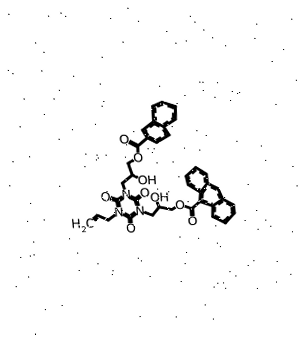 C=CCn1c(=O)n(CC(O)COC(=O)c2ccc3ccccc3c2)c(=O)n(CC(O)COC(=O)c2c3ccccc3cc3ccccc23)c1=O